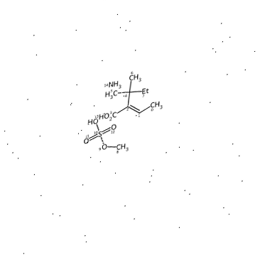 CC=C(C(=O)O)C(C)(C)CC.COS(=O)(=O)O.N